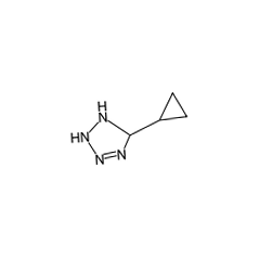 C1CC1C1N=NNN1